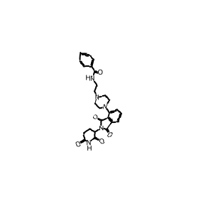 O=C1CCC(N2C(=O)c3cccc(N4CCN(CCNC(=O)c5ccccc5)CC4)c3C2=O)C(=O)N1